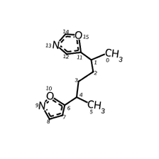 CC(CCC(C)c1ccno1)c1cnco1